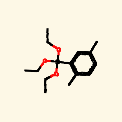 CCO[Si](OCC)(OCC)c1cc(C)ccc1C